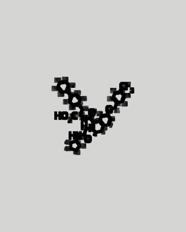 O=C(CN1CCc2ccc(OCc3ccc(C(F)(F)F)cc3)cc2C1C(=O)N[C@@H](Cc1ccc(-c2ccccc2)cc1)C(=O)O)NC1CCCC1